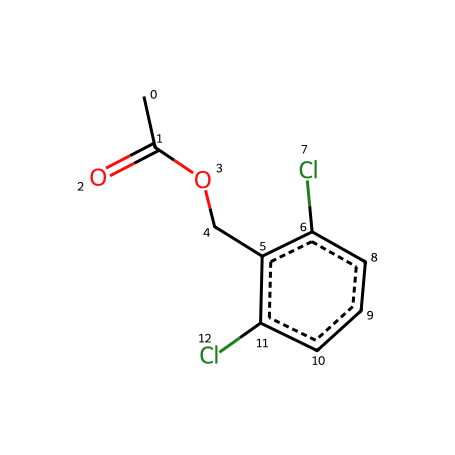 CC(=O)OCc1c(Cl)cccc1Cl